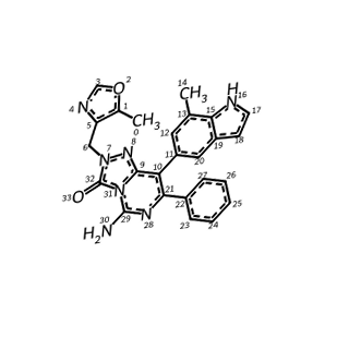 Cc1ocnc1Cn1nc2c(-c3cc(C)c4[nH]ccc4c3)c(-c3ccccc3)nc(N)n2c1=O